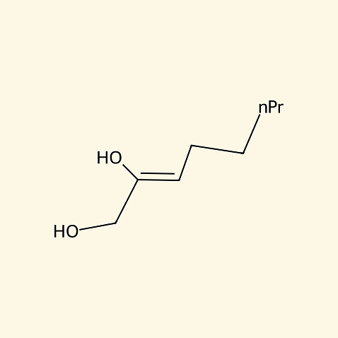 CCCCC/C=C(\O)CO